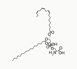 CC/C=C\C/C=C\C/C=C\CCCCCCCC(=O)OC[C@H](COP(=O)(O)OC[C@H](N)C(=O)O)OC(=O)CCCCCCCCCCCCCCCC